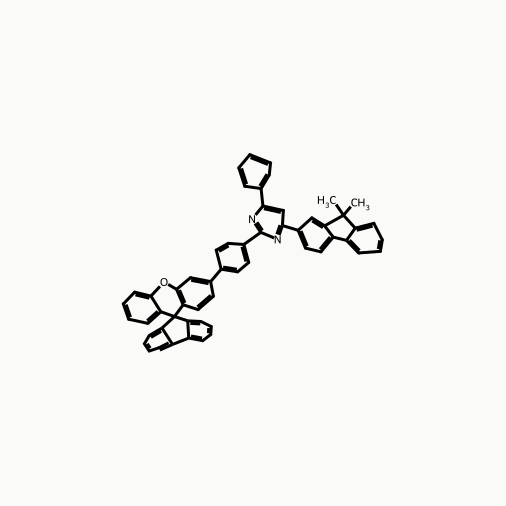 CC1(C)c2ccccc2-c2ccc(-c3cc(-c4ccccc4)nc(-c4ccc(-c5ccc6c(c5)Oc5ccccc5C65c6ccccc6-c6ccccc65)cc4)n3)cc21